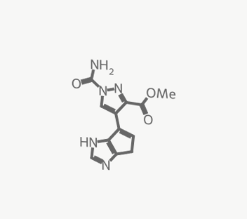 COC(=O)c1nn(C(N)=O)cc1C1=CCc2nc[nH]c21